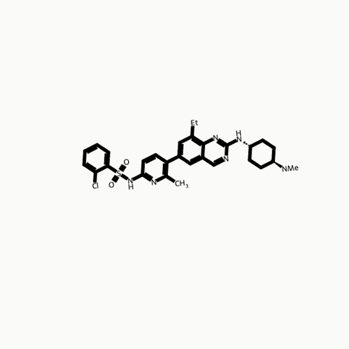 CCc1cc(-c2ccc(NS(=O)(=O)c3ccccc3Cl)nc2C)cc2cnc(N[C@H]3CC[C@H](NC)CC3)nc12